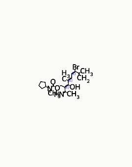 C=C(C)\C(Br)=C/C=C(C)/C(O)=C(\COC(=O)N(C)C1CCCC1)C(C)=N